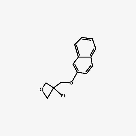 CCC1(COc2ccc3ccccc3c2)COC1